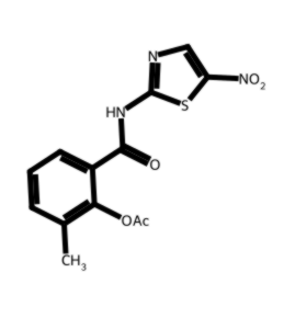 CC(=O)Oc1c(C)cccc1C(=O)Nc1ncc([N+](=O)[O-])s1